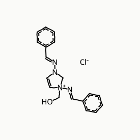 OC[N+]1(/N=C/c2ccccc2)C=CN(/N=C/c2ccccc2)C1.[Cl-]